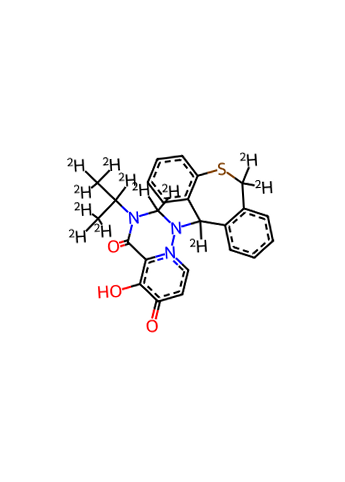 [2H]C1([2H])Sc2ccccc2C([2H])(N2n3ccc(=O)c(O)c3C(=O)N(C([2H])(C([2H])([2H])[2H])C([2H])([2H])[2H])C2([2H])[2H])c2ccccc21